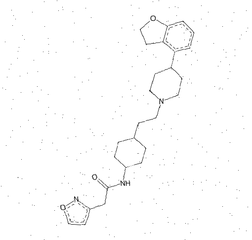 O=C(Cc1ccon1)NC1CCC(CCN2CCC(c3cccc4c3CCO4)CC2)CC1